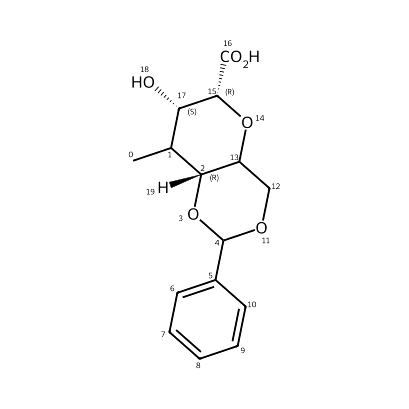 CC1[C@H]2OC(c3ccccc3)OCC2O[C@@H](C(=O)O)[C@H]1O